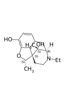 CCN1CC[C@@]23C4C(=C(O)C=CC4C[C@@H]1[C@@]2(C)O)O[C@H]3C